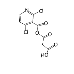 O=C(O)CC(=O)OC(=O)c1c(Cl)ccnc1Cl